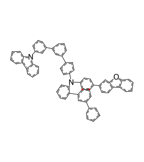 c1ccc(-c2cccc(-c3ccccc3N(c3ccc(-c4cccc(-c5cccc(-n6c7ccccc7c7ccccc76)c5)c4)cc3)c3ccc(-c4ccc5c(c4)oc4ccccc45)cc3)c2)cc1